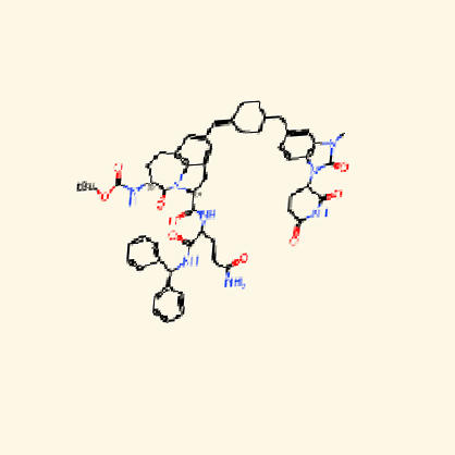 Cn1c(=O)n(C2CCC(=O)NC2=O)c2ccc(CC3CCC(=Cc4cc5c6c(c4)C[C@@H](C(=O)NC(CCC(N)=O)C(=O)NC(c4ccccc4)c4ccccc4)N6C(=O)[C@@H](NC(=O)OC(C)(C)C)CC5)CC3)cc21